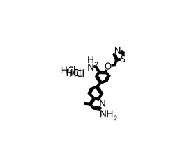 Cc1cc(N)nc2cc(-c3ccc(OCc4cncs4)c(CN)c3)ccc12.Cl.Cl.Cl